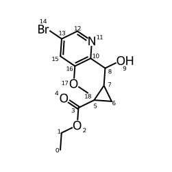 CCOC(=O)C1CC1C(O)c1ncc(Br)cc1OC